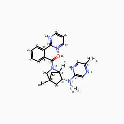 CN(c1cnc(C(F)(F)F)cn1)[C@@H]1C[C@H]2C[C@@H]1N(C(=O)c1ccccc1-c1ncccn1)C2